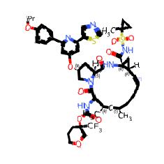 CC(C)Oc1ccc(-c2cc(O[C@@H]3C[C@H]4C(=O)N[C@]5(C(=O)NS(=O)(=O)C6(C)CC6)C[C@@H]5/C=C\CC[C@H](C)C[C@@H](C)C(NC(=O)OC5(C(F)(F)F)CCCOC5)C(=O)N4C3)cc(-c3cncs3)n2)cc1